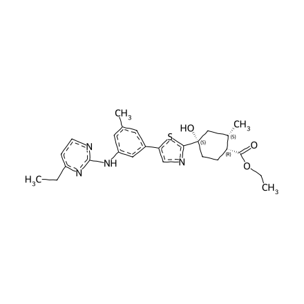 CCOC(=O)[C@@H]1CC[C@@](O)(c2ncc(-c3cc(C)cc(Nc4nccc(CC)n4)c3)s2)C[C@@H]1C